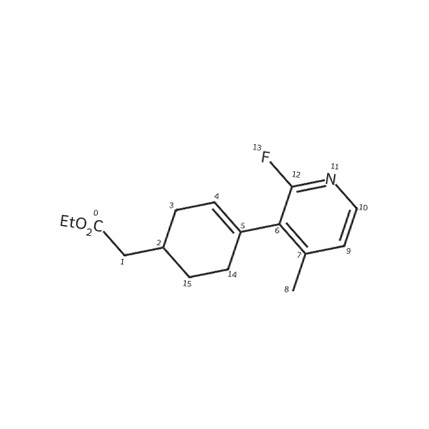 CCOC(=O)CC1CC=C(c2c(C)ccnc2F)CC1